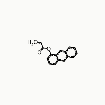 C=CC(=O)Oc1cccc2cc3ccccc3cc12